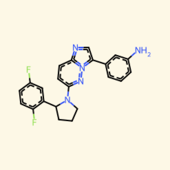 Nc1cccc(-c2cnc3ccc(N4CCCC4c4cc(F)ccc4F)nn23)c1